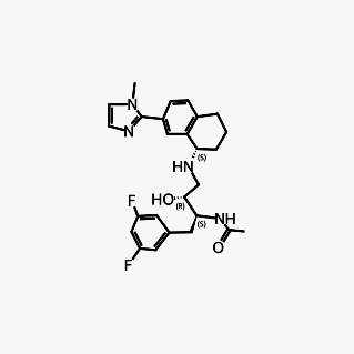 CC(=O)N[C@@H](Cc1cc(F)cc(F)c1)[C@H](O)CN[C@H]1CCCc2ccc(-c3nccn3C)cc21